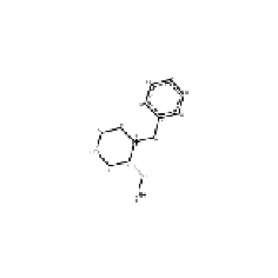 OC[C@@H]1COCCN1Cc1ccccc1